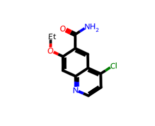 CCOc1cc2nccc(Cl)c2cc1C(N)=O